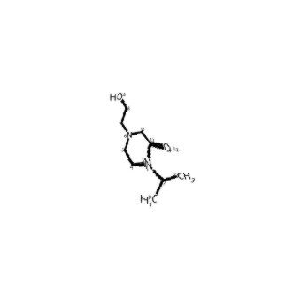 CC(C)N1CCN(CCO)CC1=O